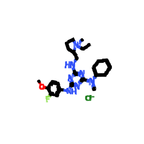 CC[N+]1(C)CCCC1CNc1nc(Nc2ccc(OC)c(F)c2)nc(N(C)C2CCCCC2)n1.[Cl-]